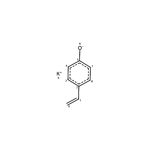 C=Cc1ccc([O-])cc1.[K+]